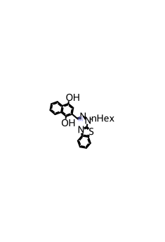 CCCCCCN(/N=C/c1cc(O)c2ccccc2c1O)c1nc2ccccc2s1